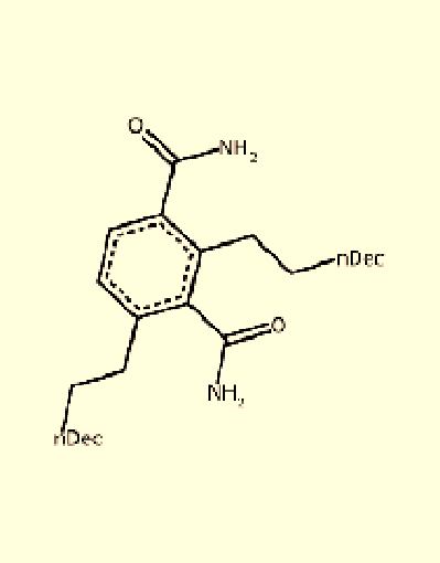 CCCCCCCCCCCCc1ccc(C(N)=O)c(CCCCCCCCCCCC)c1C(N)=O